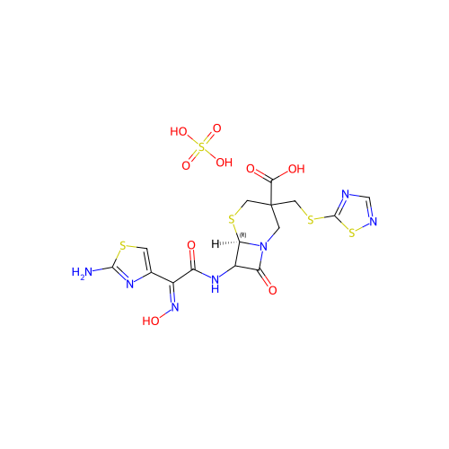 Nc1nc(C(=NO)C(=O)NC2C(=O)N3CC(CSc4ncns4)(C(=O)O)CS[C@H]23)cs1.O=S(=O)(O)O